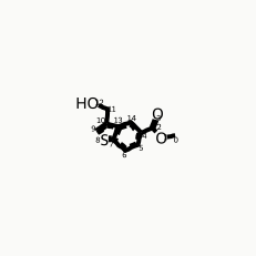 COC(=O)c1ccc2scc(CO)c2c1